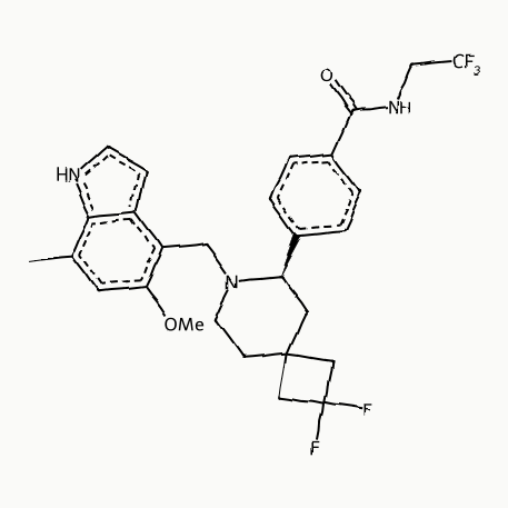 COc1cc(C)c2[nH]ccc2c1CN1CCC2(C[C@@H]1c1ccc(C(=O)NCC(F)(F)F)cc1)CC(F)(F)C2